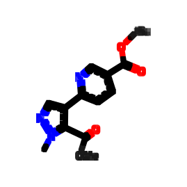 COC(=O)c1c(-c2ccc(C(=O)OC(C)(C)C)cn2)cnn1C